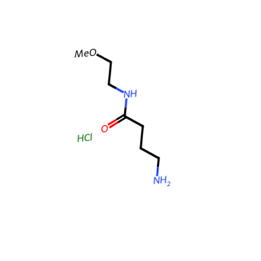 COCCNC(=O)CCCN.Cl